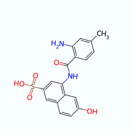 Cc1ccc(C(=O)Nc2cc(S(=O)(=O)O)cc3ccc(O)cc23)c(N)c1